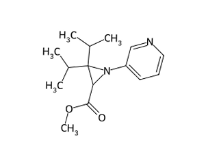 COC(=O)C1N(c2cccnc2)C1(C(C)C)C(C)C